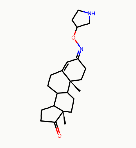 C[C@]12CC/C(=N/OC3CCNC3)C=C1CCC1C2CC[C@]2(C)C(=O)CCC12